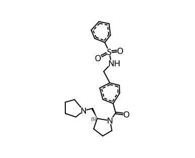 O=C(c1ccc(CNS(=O)(=O)c2ccccc2)cc1)N1CCC[C@H]1CN1CCCC1